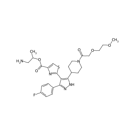 COCCOCC(=O)N1CCC(c2[nH]nc(-c3ccc(F)cc3)c2-c2nc(C(=O)OC(C)CN)cs2)CC1